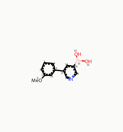 COc1cccc(-c2cncc(B(O)O)c2)c1